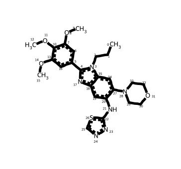 CCCn1c(-c2cc(OC)c(OC)c(OC)c2)nc2cc(Nc3nncs3)c(N3CCOCC3)cc21